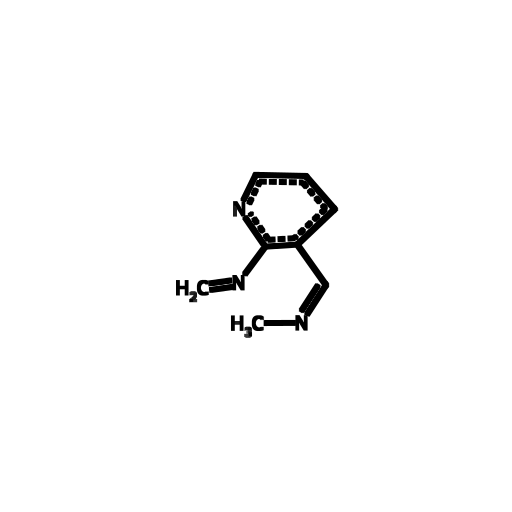 C=Nc1ncccc1/C=N\C